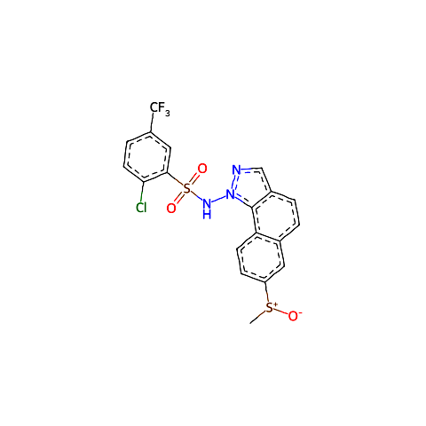 C[S+]([O-])c1ccc2c(ccc3cnn(NS(=O)(=O)c4cc(C(F)(F)F)ccc4Cl)c32)c1